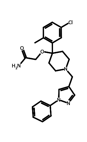 Cc1ccc(Cl)cc1C1(OCC(N)=O)CCN(Cc2cnn(-c3ccccc3)c2)CC1